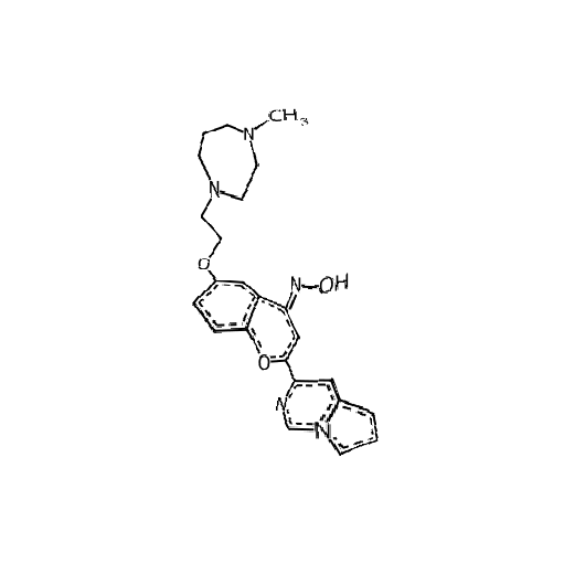 CN1CCCN(CCOc2ccc3oc(-c4cc5cccn5cn4)cc(=NO)c3c2)CC1